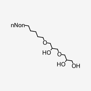 CCCCCCCCCCCCCCOCC(O)COCC(O)CO